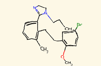 CCCN1CCN=C1c1cccc(C)c1CCc1cc(Br)ccc1OC